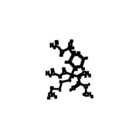 C=C(C(=O)OC)C(CCCCC)(OCC)c1cccc(C(=O)OC)c1